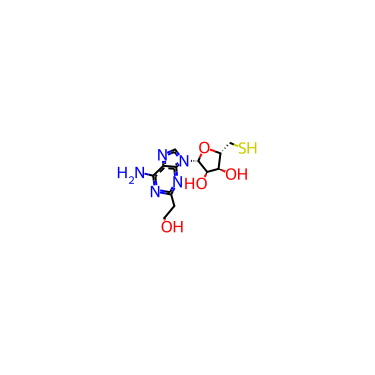 Nc1nc(CCO)nc2c1ncn2[C@@H]1O[C@H](CS)[C@@H](O)[C@H]1O